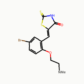 CNCCOc1ccc(Br)cc1C=C1SC(=S)NC1=O